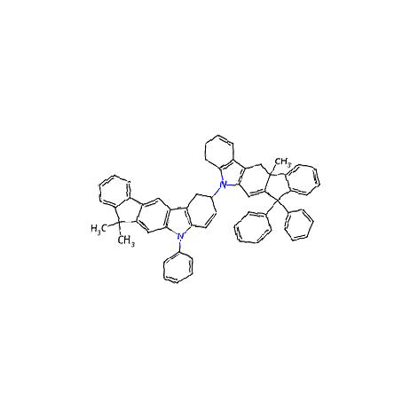 CC12Cc3c4c(n(C5C=Cc6c(c7cc8c(cc7n6-c6ccccc6)C(C)(C)c6ccccc6-8)C5)c3C=C1C(c1ccccc1)(c1ccccc1)c1ccccc12)CCC=C4